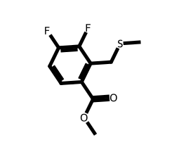 COC(=O)c1ccc(F)c(F)c1CSC